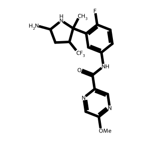 COc1cnc(C(=O)Nc2ccc(F)c(C3(C)NC(N)CC3C(F)(F)F)c2)cn1